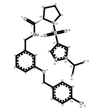 O=C(NCc1cccc(OCc2ccc(C(F)(F)F)cc2)c1)[C@@H]1CCCN1S(=O)(=O)c1cnn(C(F)F)c1